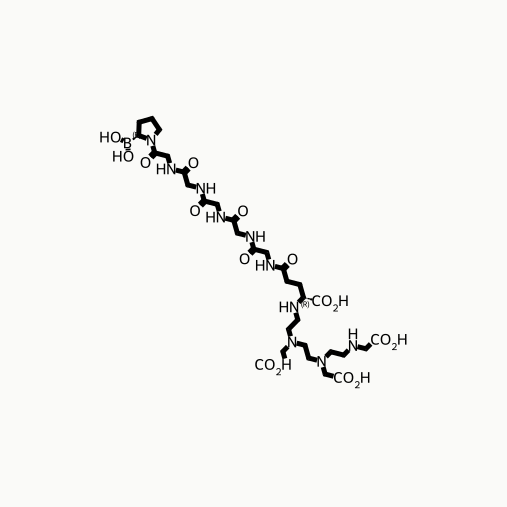 O=C(O)CNCCN(CCN(CCN[C@H](CCC(=O)NCC(=O)NCC(=O)NCC(=O)NCC(=O)NCC(=O)N1CCC[C@H]1B(O)O)C(=O)O)CC(=O)O)CC(=O)O